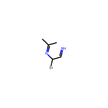 CCC(C=N)N=C(C)C